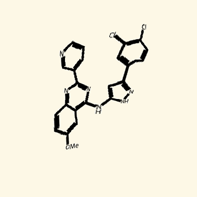 COc1ccc2nc(-c3cccnc3)nc(Nc3cc(-c4ccc(Cl)c(Cl)c4)n[nH]3)c2c1